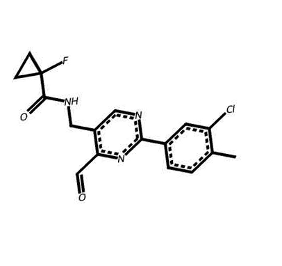 Cc1ccc(-c2ncc(CNC(=O)C3(F)CC3)c(C=O)n2)cc1Cl